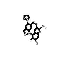 C[C@H](Oc1cc2cc(F)c(Cl)cc2nc1N)c1cc2[nH]ncc2cc1-n1cccn1